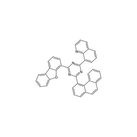 c1cnc2c(-c3nc(-c4cccc5c4oc4ccccc45)nc(-c4cccc5ccc6ccccc6c45)n3)cccc2c1